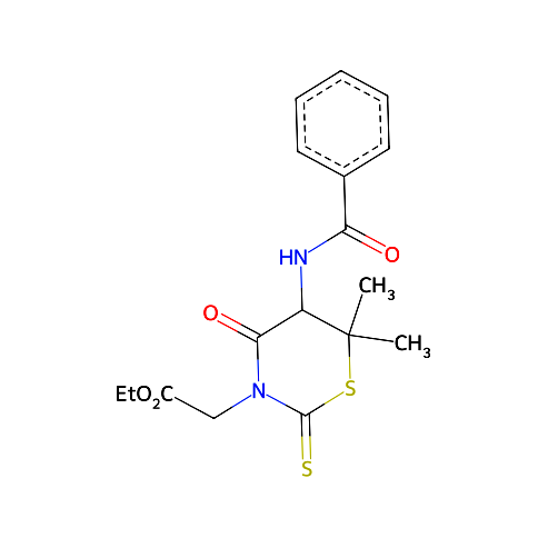 CCOC(=O)CN1C(=O)C(NC(=O)c2ccccc2)C(C)(C)SC1=S